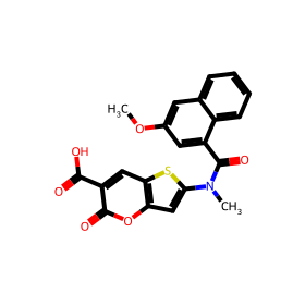 COc1cc(C(=O)N(C)c2cc3oc(=O)c(C(=O)O)cc3s2)c2ccccc2c1